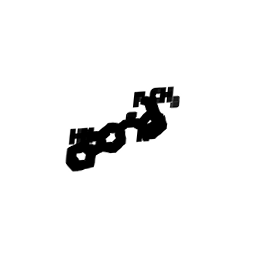 CC(F)=C1C2CCN(CC2)C1Sc1ccc2c(c1)[nH]c1ccccc12